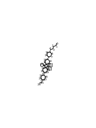 CCCCC[C@H]1CC[C@H](C2CCC3(CC2)C(=O)C2(CCC([C@H]4CC[C@H](CC)CC4)CC2)C3(Cl)Cl)CC1